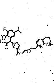 COc1c(F)cc(C(C)C)cc1C(C(=O)O)N1CC[C@@H](N(C)CCOCCc2ccc3c(n2)NCCC3)C1